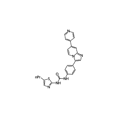 CCCc1cnc(NC(=O)Nc2ccc(-c3cnc4cc(-c5ccncc5)ccn34)cc2)s1